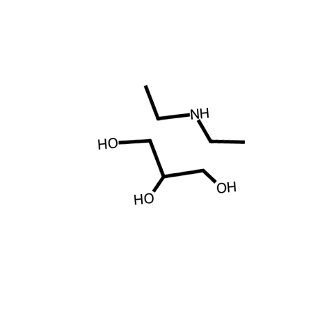 CCNCC.OCC(O)CO